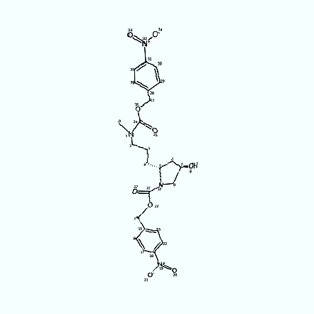 CN(CCC[C@@H]1C[C@@H](O)CN1C(=O)OCc1ccc([N+](=O)[O-])cc1)C(=O)OCc1ccc([N+](=O)[O-])cc1